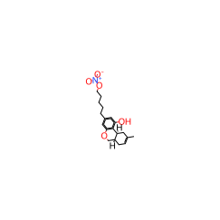 CC1=CC[C@@H]2COc3cc(CCCCCO[N+](=O)[O-])cc(O)c3[C@H]2C1